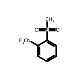 CS(=O)(=O)c1ccccc1NC(F)(F)F